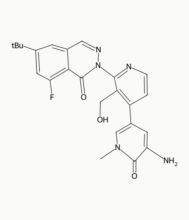 Cn1cc(-c2ccnc(-n3ncc4cc(C(C)(C)C)cc(F)c4c3=O)c2CO)cc(N)c1=O